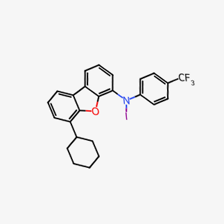 FC(F)(F)c1ccc(N(I)c2cccc3c2oc2c(C4CCCCC4)cccc23)cc1